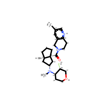 CN([C@@H]1C[C@H]2CCC[C@@]2(C(=O)N2CCc3ncc(C(F)(F)F)cc3C2)C1)[C@@H]1CCOC[C@H]1F